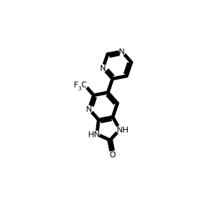 O=c1[nH]c2cc(-c3ccncn3)c(C(F)(F)F)nc2[nH]1